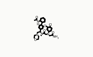 CC(=O)Nc1ccccc1-c1ccc(C(CN2CCOCC2)N(C)C(=O)CN(CC(N)=O)c2ccc(Cl)c(Cl)c2)cc1